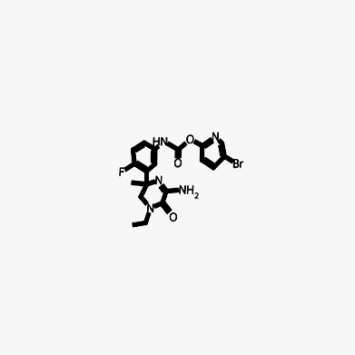 CCN1CC(C)(c2cc(NC(=O)Oc3ccc(Br)cn3)ccc2F)N=C(N)C1=O